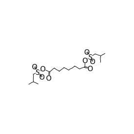 CC(C)CS(=O)(=O)OC(=O)CCCCCCC(=O)OS(=O)(=O)CC(C)C